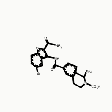 CC(C)(C)C1c2ccc(C(=O)Nc3c(C(N)=O)oc4ccc(Br)cc34)cc2CCN1C(=O)O